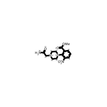 COC(=O)c1cccc([N+](=O)[O-])c1N1CCN(CC(N)=O)CC1